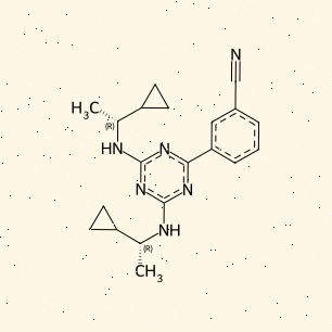 C[C@@H](Nc1nc(N[C@H](C)C2CC2)nc(-c2cccc(C#N)c2)n1)C1CC1